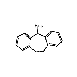 [NH]C1c2ccccc2CCc2ccccc21